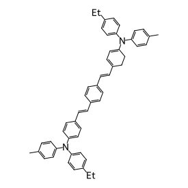 CCc1ccc(N(C2=CC=C(C=Cc3ccc(C=Cc4ccc(N(c5ccc(C)cc5)c5ccc(CC)cc5)cc4)cc3)CC2)c2ccc(C)cc2)cc1